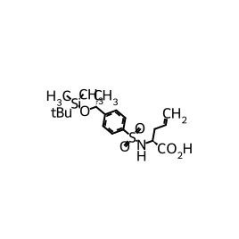 C=CC[C@H](NS(=O)(=O)c1ccc([C@@H](C)O[Si](C)(C)C(C)(C)C)cc1)C(=O)O